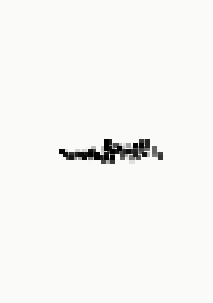 COCn1cc(Nc2ccc(OCOCC[Si](C)(C)C)c(Br)n2)cn1